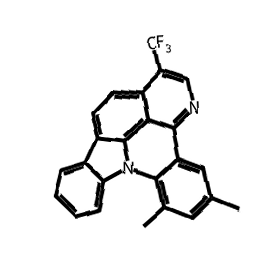 Cc1cc(C)c2c(c1)c1ncc(C(F)(F)F)c3ccc4c5ccccc5n2c4c31